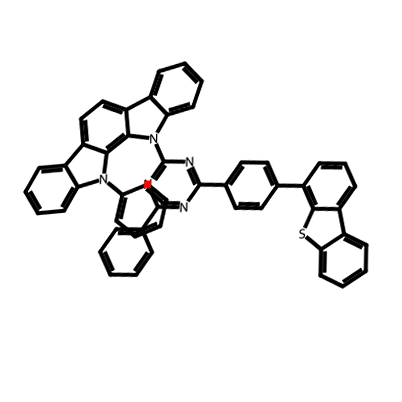 c1ccc(-c2nc(-c3ccc(-c4cccc5c4sc4ccccc45)cc3)nc(-n3c4ccccc4c4ccc5c6ccccc6n(-c6ccccc6)c5c43)n2)cc1